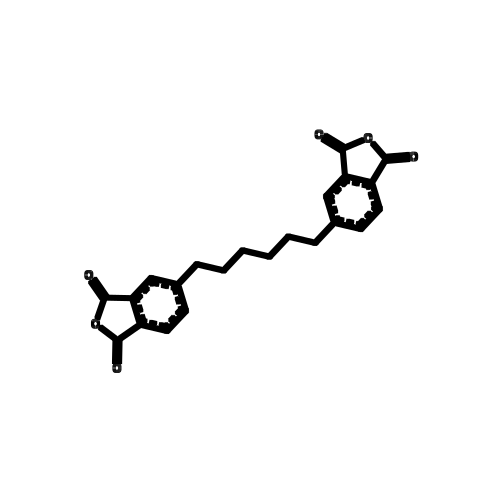 O=C1OC(=O)c2cc(CCCCCCc3ccc4c(c3)C(=O)OC4=O)ccc21